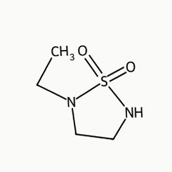 CCN1CCNS1(=O)=O